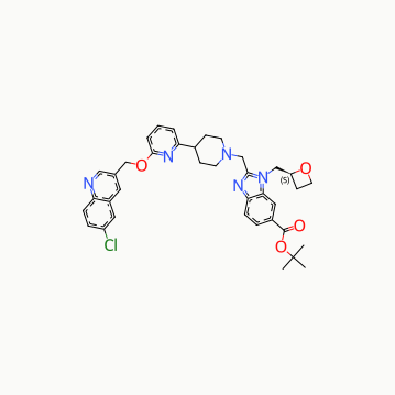 CC(C)(C)OC(=O)c1ccc2nc(CN3CCC(c4cccc(OCc5cnc6ccc(Cl)cc6c5)n4)CC3)n(C[C@@H]3CCO3)c2c1